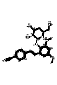 COc1cc(/C=C/c2ccc(C#N)cc2)c(O[C@@H]2O[C@H](CO)C[C@H](O)[C@H]2O)c(OC)c1